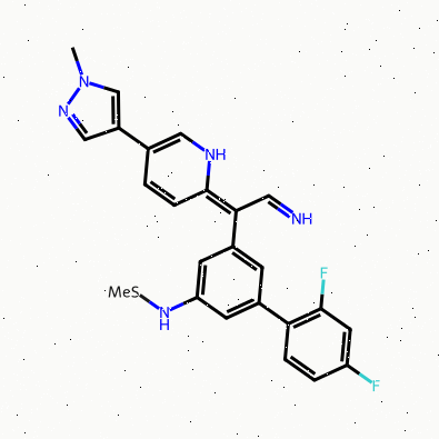 CSNc1cc(/C(C=N)=C2\C=CC(c3cnn(C)c3)=CN2)cc(-c2ccc(F)cc2F)c1